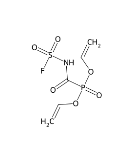 C=COP(=O)(OC=C)C(=O)NS(=O)(=O)F